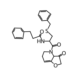 O=C(CCc1ccccc1)NC(CSCc1ccccc1)C(=O)N1CCC=C2OCC(=O)C21